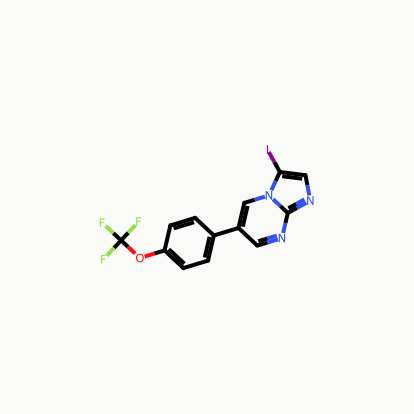 FC(F)(F)Oc1ccc(-c2cnc3ncc(I)n3c2)cc1